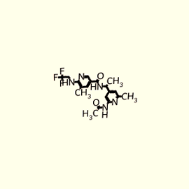 CC(=O)Nc1cc(C(C)NC(=O)c2cnc(NCC(F)(F)F)c(C)c2)cc(C)n1